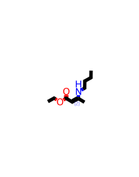 CCCCN/C(C)=C\C(=O)OCC